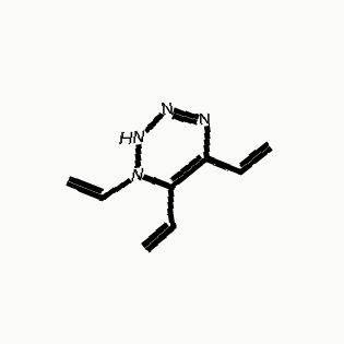 C=CC1=C(C=C)N(C=C)NN=N1